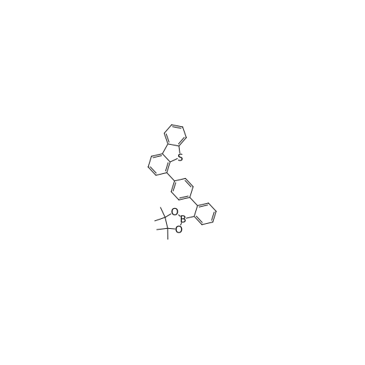 CC1(C)OB(c2ccccc2-c2ccc(-c3cccc4c3sc3ccccc34)cc2)OC1(C)C